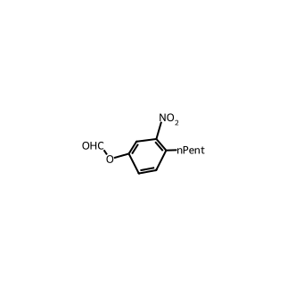 CCCCCc1ccc(OC=O)cc1[N+](=O)[O-]